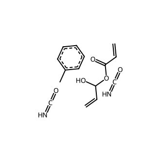 C=CC(=O)OC(O)C=C.Cc1ccccc1.N=C=O.N=C=O